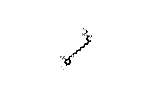 CC(C=CCCCCCCOCc1ccc(C(F)(F)F)cc1C(F)(F)F)=CC(=O)NCC(C)C